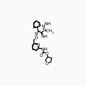 CN(N=N)C(=N)/C(=N\OCc1cccc(NC(=O)OC2CCOC2)n1)c1ccccc1